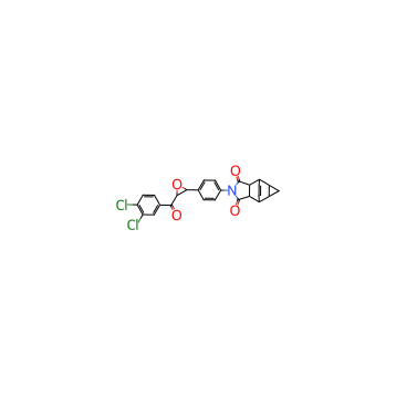 O=C(c1ccc(Cl)c(Cl)c1)C1OC1c1ccc(N2C(=O)C3C4C=CC(C5CC45)C3C2=O)cc1